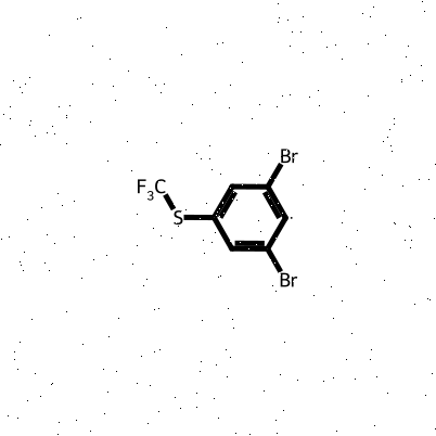 FC(F)(F)Sc1cc(Br)[c]c(Br)c1